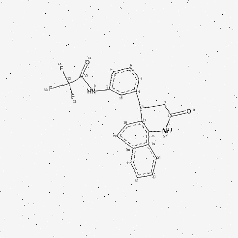 O=C1CC(c2cccc(NC(=O)C(F)(F)F)c2)c2ccc3ccccc3c2N1